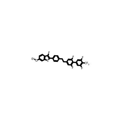 CCOc1ccc2c(F)c(-c3ccc(CCc4cc(F)c(-c5cc(F)c(C(F)(F)F)c(F)c5)c(F)c4)cc3)sc2c1